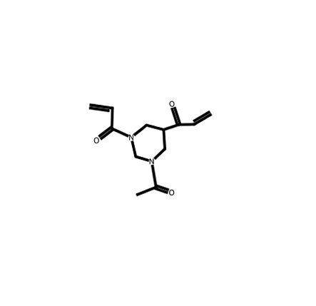 C=CC(=O)C1CN(C(C)=O)CN(C(=O)C=C)C1